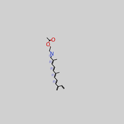 C=CC(=C)/C=C/C=C(C)/C=C/C=C(C)/C=N/CCOC(C)=O